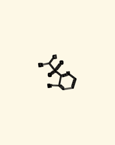 CCC(Cl)S(=O)(=O)c1ncccc1Br